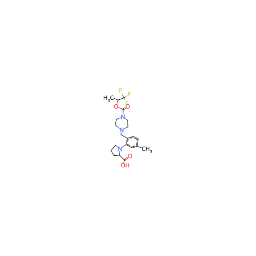 Cc1ccc(CN2CCN(C(=O)OC(C)C(F)(F)F)CC2)c(N2CCCC2C(=O)O)c1